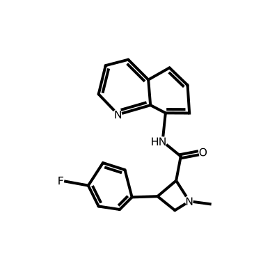 CN1CC(c2ccc(F)cc2)C1C(=O)Nc1cccc2cccnc12